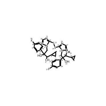 CC(C1CC1)C(O)(Cn1ncnc1SSc1ncnn1CC(O)(c1ccc(F)cc1)C(C)C1CC1)c1ccc(F)cc1